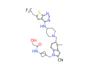 Cc1c(CN2CCC(Nc3ncnc4sc(CC(F)(F)F)cc34)CC2)ccc2c1cc(C#N)n2CC12CC(NC(=O)CO)(C1)C2